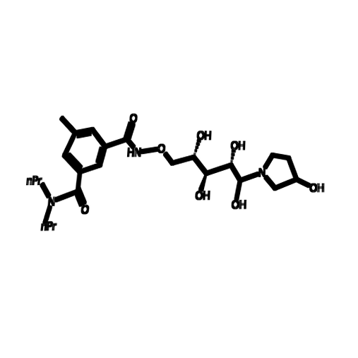 CCCN(CCC)C(=O)c1cc(C)cc(C(=O)NOC[C@H](O)[C@H](O)[C@H](O)C(O)N2CCC(O)C2)c1